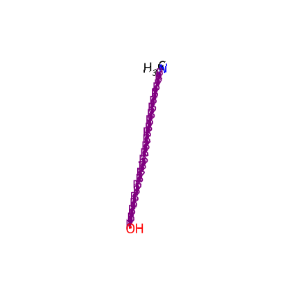 CN=PP=PP=PP=PP=PP=PP=PP=PP=PP=PP=PP=PP=PP=PP=PP=PP=PP=PP=PP=PP=PP=PP=PP=PO